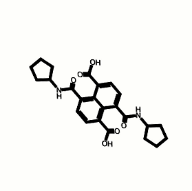 O=C(O)c1ccc(C(=O)NC2CCCC2)c2c(C(=O)O)ccc(C(=O)NC3CCCC3)c12